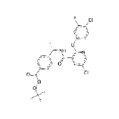 C[C@H](NC(=O)c1cc(Cl)cnc1Oc1ccc(Cl)c(F)c1)c1ccc(C(=O)OOC(C)(C)C)cc1